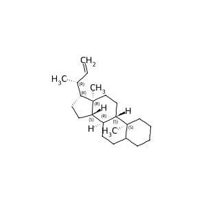 C=C[C@@H](C)[C@H]1CC[C@H]2[C@@H]3CCC4CCCC[C@]4(C)[C@H]3CC[C@]12C